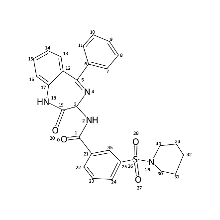 O=C(NC1N=C(c2ccccc2)c2ccccc2NC1=O)c1cccc(S(=O)(=O)N2CCCCC2)c1